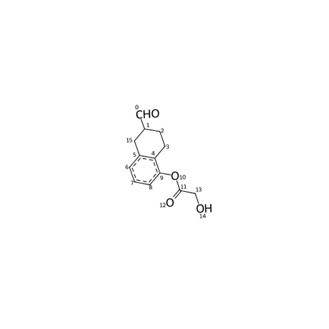 O=CC1CCc2c(cccc2OC(=O)CO)C1